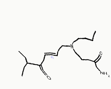 CCCN(C/C=C/C(=O)C(C)C)CC(N)=O